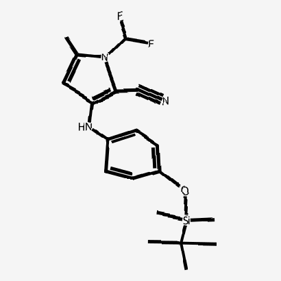 Cc1cc(Nc2ccc(O[Si](C)(C)C(C)(C)C)cc2)c(C#N)n1C(F)F